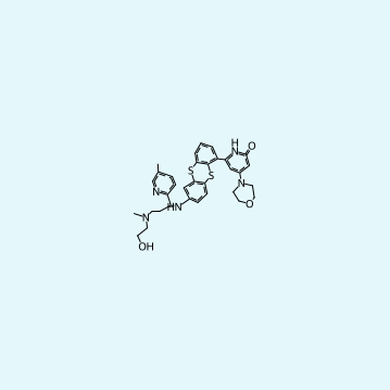 Cc1ccc(C(CCN(C)CCO)Nc2ccc3c(c2)Sc2cccc(-c4cc(N5CCOCC5)cc(=O)[nH]4)c2S3)nc1